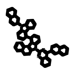 c1ccc2cc(-c3nc(-n4c5cccc(-c6cccc7c6c6ccccc6n7-c6ccc7ccccc7c6)c5c5c6ccccc6ccc54)nc4ccccc34)ccc2c1